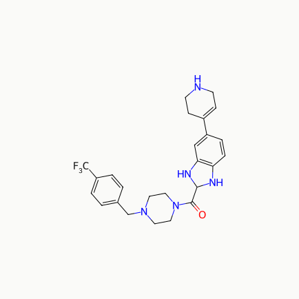 O=C(C1Nc2ccc(C3=CCNCC3)cc2N1)N1CCN(Cc2ccc(C(F)(F)F)cc2)CC1